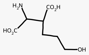 NC(C(=O)O)C(CCCO)C(=O)O